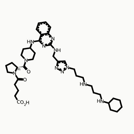 O=C(O)CCCC(=O)N1CCC[C@@H]1C(=O)N1CCC(Nc2nc(NCc3cn(CCCNCCCNC4CCCCC4)nn3)nc3ccccc23)CC1